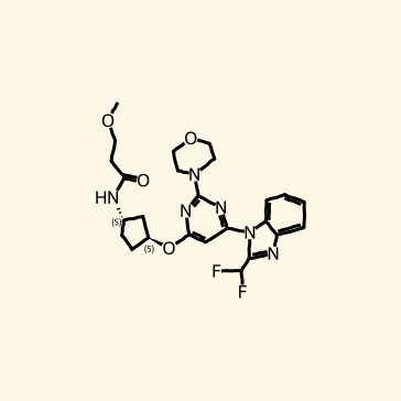 COCCC(=O)N[C@H]1CC[C@H](Oc2cc(-n3c(C(F)F)nc4ccccc43)nc(N3CCOCC3)n2)C1